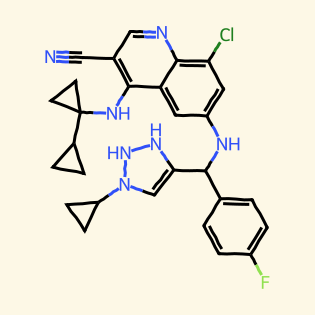 N#Cc1cnc2c(Cl)cc(NC(C3=CN(C4CC4)NN3)c3ccc(F)cc3)cc2c1NC1(C2CC2)CC1